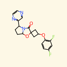 O=C1N2C(CCC2c2cnccn2)OC12CC(Oc1ccc(F)cc1F)C2